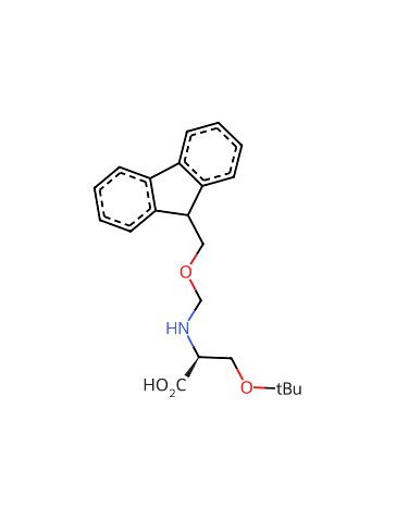 CC(C)(C)OC[C@H](NCOCC1c2ccccc2-c2ccccc21)C(=O)O